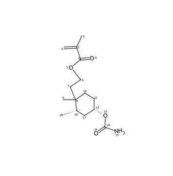 C=C(C)C(=O)OCCC1(C)CC[C@H](OC(N)=O)C[C@@H]1C